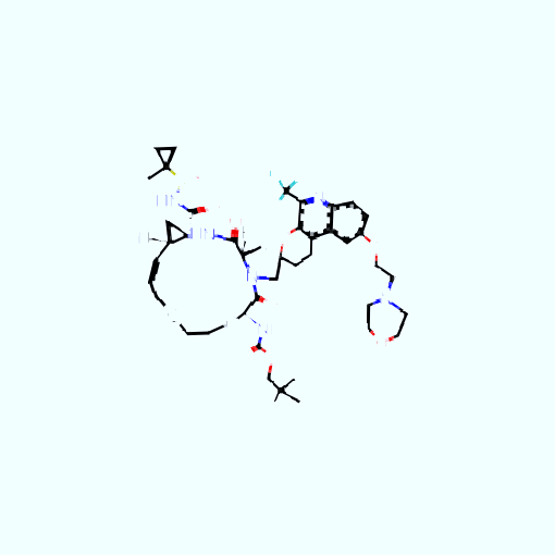 CC(C)(C)COC(=O)N[C@H]1CCCCC/C=C\[C@@H]2C[C@@]2(C(=O)N[S@+]([O-])C2(C)CC2)NC(=O)[C@@H]2C[C@]3(CCc4c(c(C(F)(F)F)nc5ccc(OCCN6CCOCC6)cc45)O3)CN2C1=O